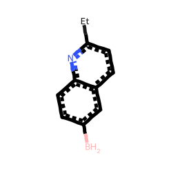 Bc1ccc2nc(CC)ccc2c1